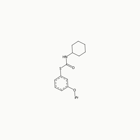 CC(C)Oc1cccc(SC(=O)NC2CCCCC2)c1